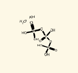 O.O=P(O)(O)OP(=O)(O)OP(=O)(O)O.[KH]